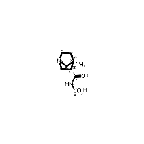 O=C(O)NC(=O)[C@@H]1CN2CC[C@@H]1C2